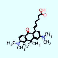 CN(C)c1ccc2c(c1)C(C)(C)c1cc(N(C)C)cc(/C=C/CCCC(=O)O)c1C2=O